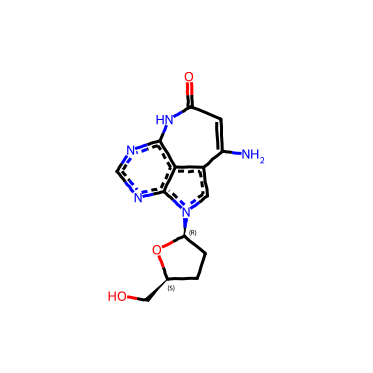 NC1=CC(=O)Nc2ncnc3c2c1cn3[C@H]1CC[C@@H](CO)O1